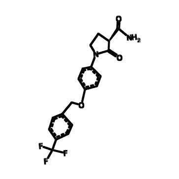 NC(=O)[C@@H]1CCN(c2ccc(OCc3ccc(C(F)(F)F)cc3)cc2)C1=O